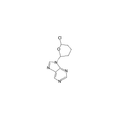 ClC1CCCC(n2cnc3cncnc32)O1